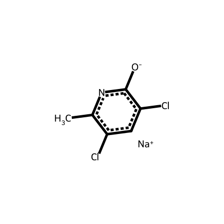 Cc1nc([O-])c(Cl)cc1Cl.[Na+]